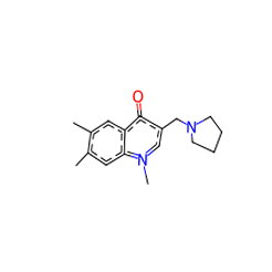 Cc1cc2c(=O)c(CN3CCCC3)cn(C)c2cc1C